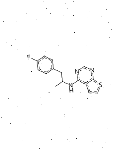 CC(Cc1ccc(F)cc1)Nc1ncnc2sccc12